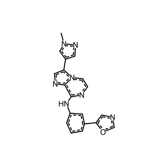 Cn1cc(-c2cnc3c(Nc4cccc(-c5cnco5)c4)nccn23)cn1